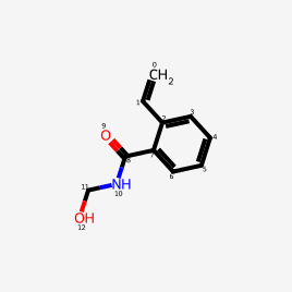 C=Cc1ccccc1C(=O)NCO